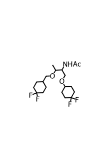 CC(=O)NC(COC1CCC(F)(F)CC1)C(C)OCC1CCC(F)(F)CC1